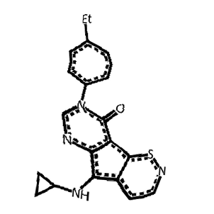 CCc1ccc(-n2cnc3c(NC4CC4)c4ccnsc-4c3c2=O)cc1